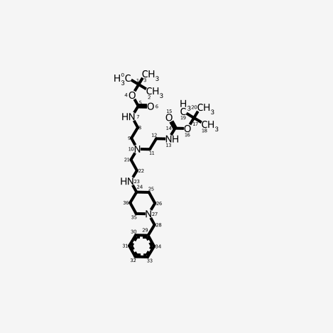 CC(C)(C)OC(=O)NCCN(CCNC(=O)OC(C)(C)C)CCNC1CCN(Cc2ccccc2)CC1